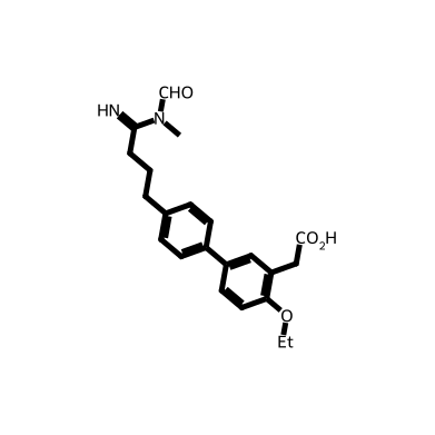 CCOc1ccc(-c2ccc(CCCC(=N)N(C)C=O)cc2)cc1CC(=O)O